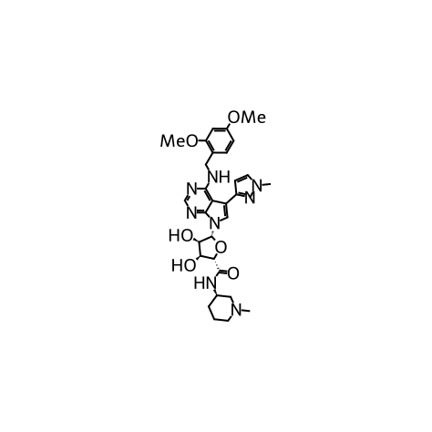 COc1ccc(CNc2ncnc3c2c(-c2ccn(C)n2)cn3[C@@H]2O[C@H](C(=O)N[C@@H]3CCCN(C)C3)[C@@H](O)[C@H]2O)c(OC)c1